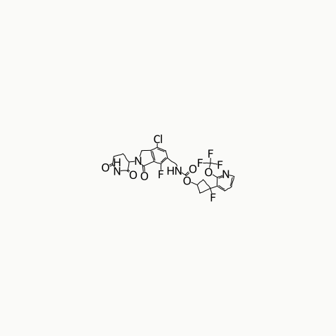 O=C1CCC(N2Cc3c(Cl)cc(CNC(=O)OC4CC(F)(c5cccnc5OC(F)(F)F)C4)c(F)c3C2=O)C(=O)N1